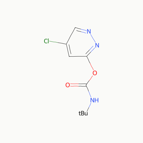 CC(C)(C)NC(=O)Oc1cc(Cl)cnn1